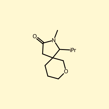 CC(C)C1N(C)C(=O)CC12CCCOC2